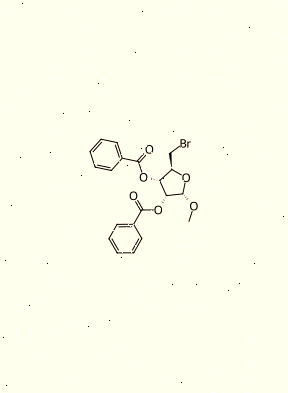 CO[C@H]1O[C@H](CBr)[C@@H](OC(=O)c2ccccc2)[C@H]1OC(=O)c1ccccc1